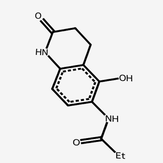 CCC(=O)Nc1ccc2c(c1O)CCC(=O)N2